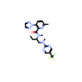 CCC(CN(C)c1ncc(C(F)(F)F)cn1)N(C)C(=O)c1nc(C)ccc1-n1nccn1